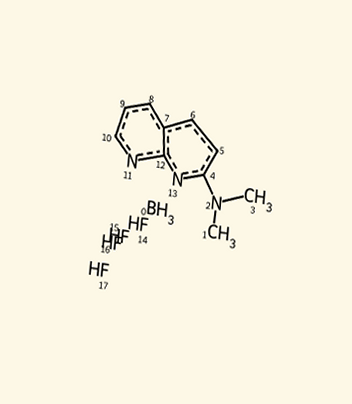 B.CN(C)c1ccc2cccnc2n1.F.F.F.F